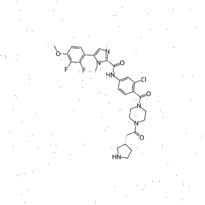 COc1ccc(-c2cnc(C(=O)Nc3ccc(C(=O)N4CCN(C(=O)C[C@@H]5CCNC5)CC4)c(Cl)c3)n2C)c(F)c1F